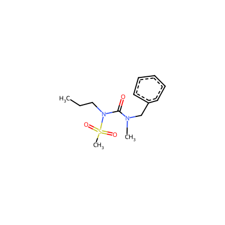 CCCN(C(=O)N(C)Cc1ccccc1)S(C)(=O)=O